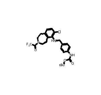 CC(C)(C)OC(=O)Nc1ccc(CNc2c(Cl)ccc3c2CCN(C(=O)C(F)(F)F)CC3)cc1